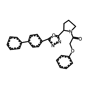 O=C(COc1ccccc1)N1CCCC1c1nnc(-c2ccc(-c3ccccc3)cc2)o1